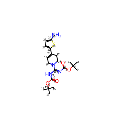 CC(C)(C)OC(=O)/N=C(/NC(=O)OC(C)(C)C)N1CC=C(c2ccc(N)s2)CC1